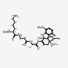 COc1ccc(C)c2c1O[C@H]1C(OC(=O)[C@H](C)OC(=O)CCNC(=O)[C@H](CCCCN)NC(C)=O)=CC[C@@]3(O)[C@@H](C)N(C)CC[C@]213